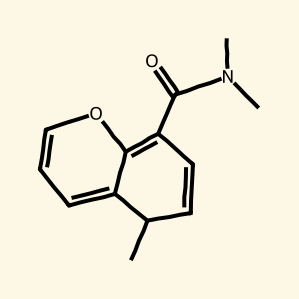 CC1C=CC(C(=O)N(C)C)=C2OC=CC=C21